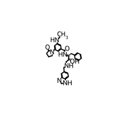 CCNc1cc(C(=O)N[C@@H](Cc2ccccc2)[C@H](O)CNCc2ccc3[nH]cnc3c2)cc(N2CCCC2=O)c1